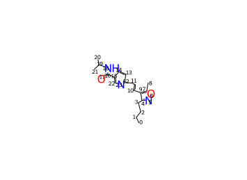 CCCCc1noc(C)c1C=Cc1ccc(C(=O)NC(C)C)cn1